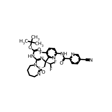 CC(C)(C)OC(=O)NC1=N[C@@](c2nc(NC(=O)c3ccc(C#N)cn3)ccc2F)(C(F)F)C[S@]2(=O)=NCCCCN12